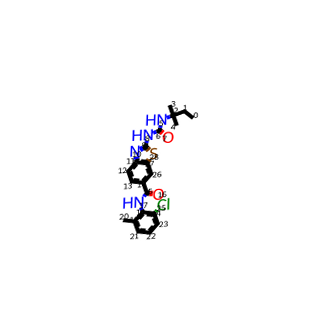 CCC(C)(C)NC(=O)Nc1nc2ccc(C(=O)Nc3c(C)cccc3Cl)cc2s1